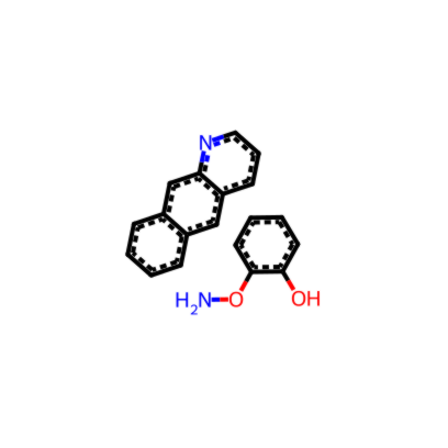 NOc1ccccc1O.c1ccc2cc3ncccc3cc2c1